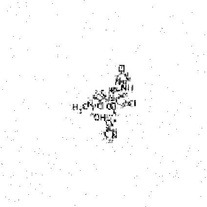 CN(CCO)Cc1csc(C(=O)Nc2c(OCCCOc3cccnc3)cc(Cl)cc2C(=O)Nc2ccc(Cl)cn2)c1Cl